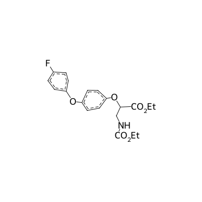 CCOC(=O)NCC(Oc1ccc(Oc2ccc(F)cc2)cc1)C(=O)OCC